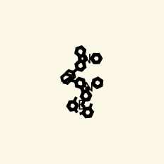 Cc1cccc(C)c1B(c1ccc2c(c1)c1cc(C34CC5CC(CC(c6ccc7c(c6)c6ccccc6n7-c6ccccc6)(C5)C3)C4)ccc1n2-c1ccccc1)c1c(C)cccc1C